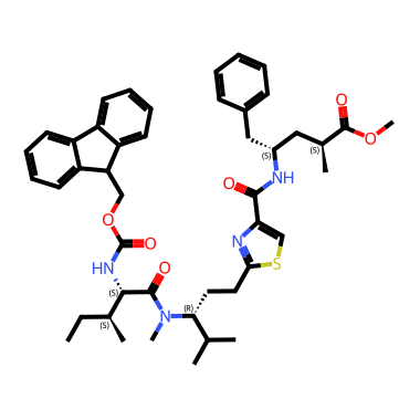 CC[C@H](C)[C@H](NC(=O)OCC1c2ccccc2-c2ccccc21)C(=O)N(C)[C@H](CCc1nc(C(=O)N[C@H](Cc2ccccc2)C[C@H](C)C(=O)OC)cs1)C(C)C